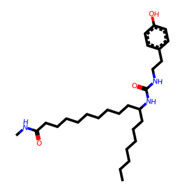 CCCCCCCC(CCCCCCCCCC(=O)NC)NC(=O)NCCc1ccc(O)cc1